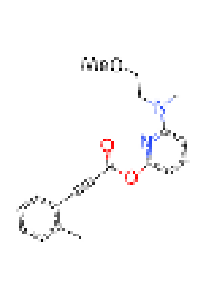 COCCN(C)c1cccc(OC(=O)C#Cc2ccccc2C)n1